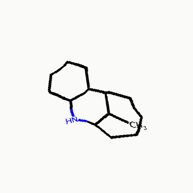 CC1C2CCCCC1C1CCCCC1N2